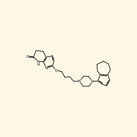 O=C1CCc2ccc(OCCCCN3CCN(c4cccc5c4CCCCC5)CC3)nc2N1